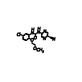 COCCOc1ccc(Cl)cc1NC(=O)Nc1cnc(C#N)cn1